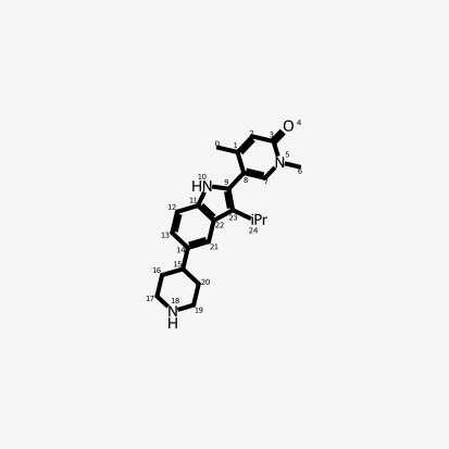 Cc1cc(=O)n(C)cc1-c1[nH]c2ccc(C3CCNCC3)cc2c1C(C)C